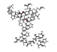 CC(C)C[C@H](NC(=O)[C@@H]1CCCN1C(=O)[C@@H](NC(=O)[C@H](CC(C)C)NC(=O)[C@H](CC(=O)O)NC(=O)[C@H](CCC(N)=O)NC(=O)[C@H](CCCCN)NC(=O)[C@@H](NC(=O)[C@H](CC(C)C)NC(=O)[C@@H]1CCCN1C(=O)[C@@H](NC(=O)[C@@H]1CCCN1C(=O)[C@H](CCC(=O)O)NC(=O)[C@H](C)NC(=O)[C@H](C)NC(=O)CNC(=O)[C@H](CC(C)C)NC(=O)[C@@H]1CCCN1C(=O)[C@@H](N)C(C)C)C(C)C)C(C)C)C(C)C)C(=O)O